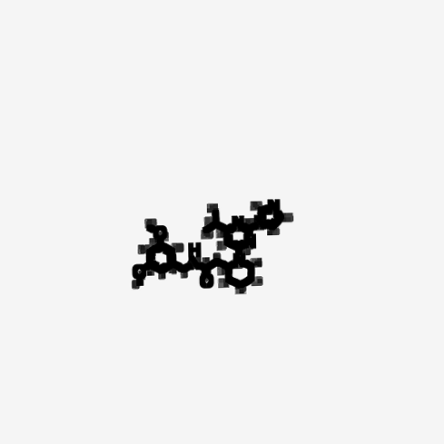 COc1cc(CNC(=O)CC2CCCCN2c2cc(C(C)C)nc(-n3ccnc3)n2)cc(OC)c1